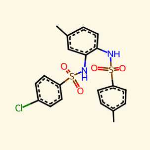 Cc1ccc(S(=O)(=O)Nc2ccc(C)cc2NS(=O)(=O)c2ccc(Cl)cc2)cc1